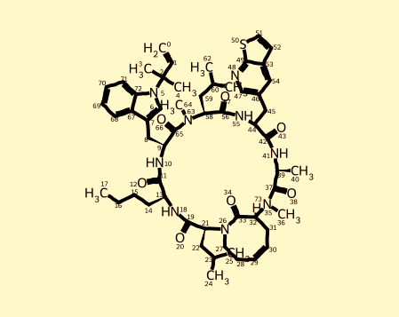 C=CC(C)(C)n1cc(C[C@@H]2NC(=O)[C@H](CCCC)NC(=O)[C@H](CC(C)C)N3CC/C=C\C[C@@H](C3=O)N(C)C(=O)[C@H](C)NC(=O)C(Cc3cnc4sccc4c3)NC(=O)[C@H](CC(C)C)N(C)C2=O)c2ccccc21